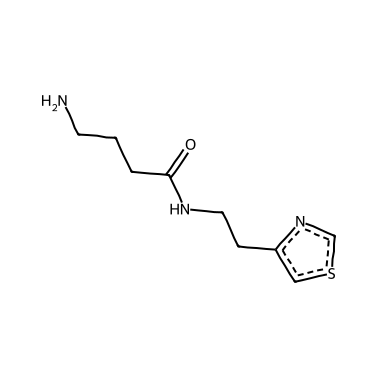 NCCCC(=O)NCCc1cscn1